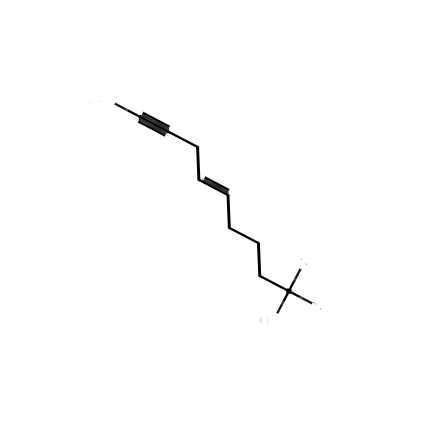 CCCCCCCCC#CCC=CCCCC([C]=O)([N+](=O)[O-])[N+](=O)[O-]